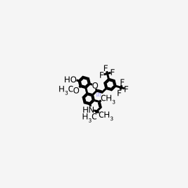 COc1c(O)ccc2c1-c1ccc3c(c1/C(=C/c1cc(C(F)(F)F)cc(C(F)(F)F)c1)O2)C(C)=CC(C)(C)N3